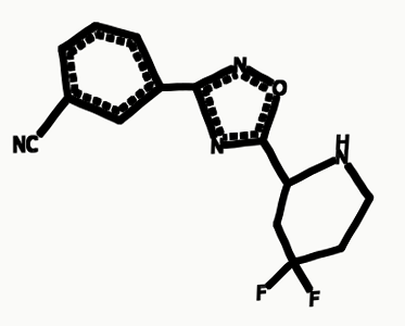 N#Cc1cccc(-c2noc(C3CC(F)(F)CCN3)n2)c1